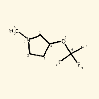 CN1CCC(OC(F)(F)F)C1